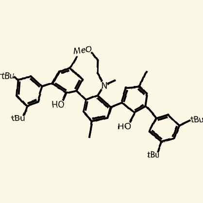 COCCN(C)c1c(-c2cc(C)cc(-c3cc(C(C)(C)C)cc(C(C)(C)C)c3)c2O)cc(C)cc1-c1cc(C)cc(-c2cc(C(C)(C)C)cc(C(C)(C)C)c2)c1O